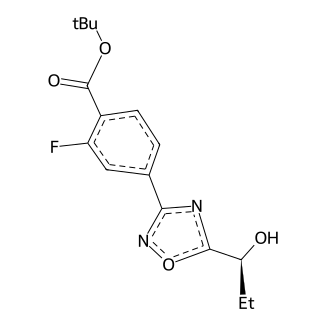 CC[C@H](O)c1nc(-c2ccc(C(=O)OC(C)(C)C)c(F)c2)no1